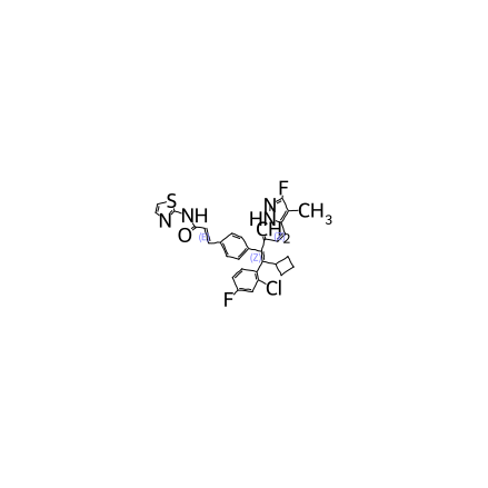 C=C(/C=C\c1[nH]nc(F)c1C)/C(=C(/c1ccc(F)cc1Cl)C1CCC1)c1ccc(/C=C/C(=O)Nc2nccs2)cc1